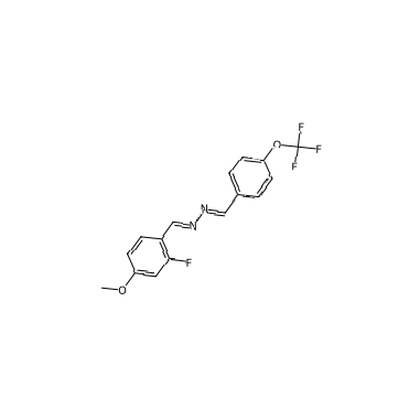 COc1ccc(C=NN=Cc2ccc(OC(F)(F)F)cc2)c(F)c1